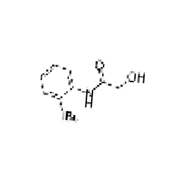 CC(C)(C)c1ccccc1NC(=O)CO